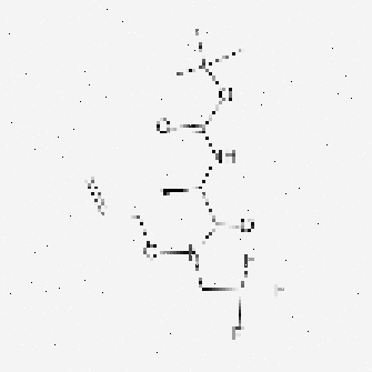 C=CCON(CC(F)(F)F)C(=O)[C@@H](C)NC(=O)OC(C)(C)C